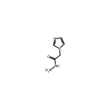 NNC(=O)Cn1ccnc1